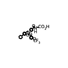 O=C(O)CCNC(=O)c1ccc(N(Cc2ccc(C3CCCCC3)cc2)C(=O)Oc2cccc(OC(F)(F)F)c2)cc1